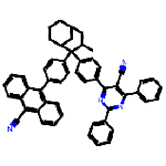 CC1CC2CCCC(C2)C1(c1ccc(-c2nc(-c3ccccc3)nc(-c3ccccc3)c2C#N)cc1)c1ccc(-c2c3ccccc3c(C#N)c3ccccc23)cc1